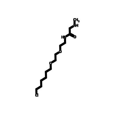 CNCC(=O)NCCOCCOCCCCCCCl